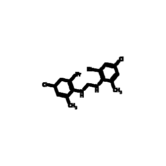 CCc1cc(Cl)cc(C)c1NCNC1=C(C(C)C)CC(Cl)C=C1C